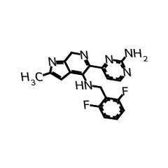 CC1=CC2=C(NCc3c(F)cccc3F)C(c3ccnc(N)n3)=NCC2=N1